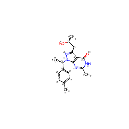 Cc1nc2c(c(C[C@@H](O)C(F)(F)F)nn2[C@H](C)c2ccc(C(F)(F)F)cc2)c(=O)[nH]1